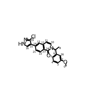 COc1cccc(C(C)n2ccc3cc(-c4c[nH]nc4Cl)ccc3c2=O)c1